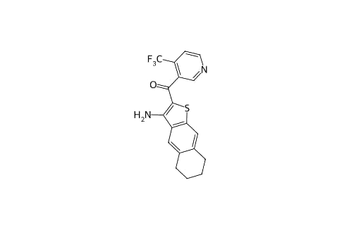 Nc1c(C(=O)c2cnccc2C(F)(F)F)sc2cc3c(cc12)CCCC3